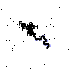 C=C(CC/C=C\C/C=C\C/C=C\C/C=C\C/C=C\C/C=C\CC)NCC(=O)Oc1ccc(-c2ccc(F)cc2F)cc1C(=O)O